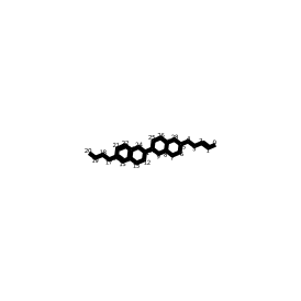 CC=CCCC1CCC2CC(C3CCc4cc(CCCC)ccc4C3)CCC2C1